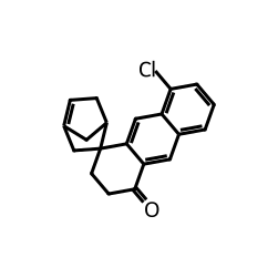 O=C1CCC2(CC3=CCC2C3)c2cc3c(Cl)cccc3cc21